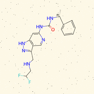 C[C@@H](NC(=O)Nc1cc2[nH]nc(CNCC(F)F)c2cn1)c1ccccc1